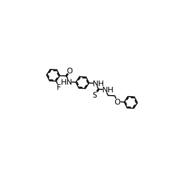 O=C(Nc1ccc(NC(=S)NCCOc2ccccc2)cc1)c1ccccc1F